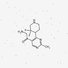 Cc1ncc(C(=O)CN)c(C2CCNCC2(F)F)n1